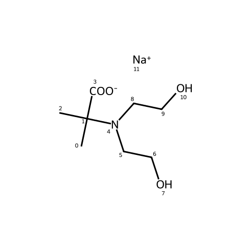 CC(C)(C(=O)[O-])N(CCO)CCO.[Na+]